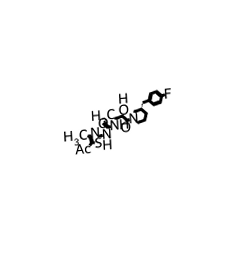 CC(=O)c1sc(NC(=O)N[C@H](C)[C@@H](O)C(=O)N2CCC[C@@H](Cc3ccc(F)cc3)C2)nc1C